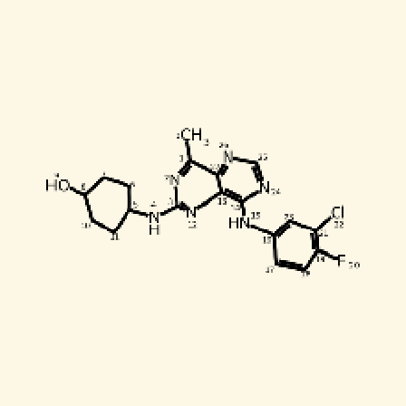 Cc1nc(NC2CCC(O)CC2)nc2c(Nc3ccc(F)c(Cl)c3)ncnc12